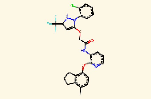 Cc1ccc(Oc2ncccc2NC(=O)COC2=CC(C(F)(F)F)NN2c2ccccc2Cl)c2c1CCC2